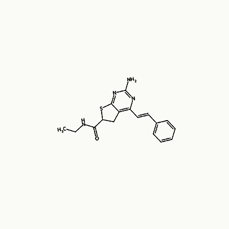 CCNC(=O)C1Cc2c(/C=C/c3ccccc3)nc(N)nc2S1